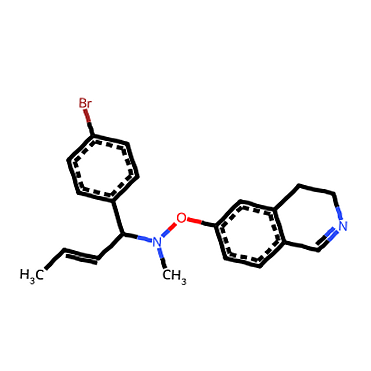 CC=CC(c1ccc(Br)cc1)N(C)Oc1ccc2c(c1)CCN=C2